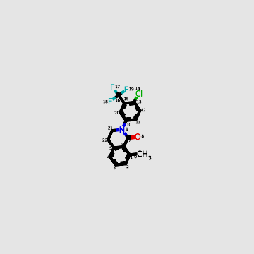 Cc1cccc2c1C(=O)N(c1ccc(Cl)c(C(F)(F)F)c1)CC2